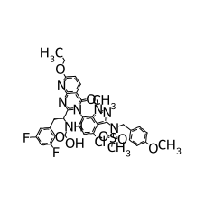 CCOc1ccc2c(=O)n(-c3ccc(Cl)c4c(N(Cc5ccc(OC)cc5)S(C)(=O)=O)nn(C)c34)c([C@H](Cc3cc(F)cc(F)c3)NC(=O)O)nc2n1